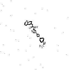 COc1ccc([C@H]2C[C@@H](n3cnc(NC(=O)Cc4ccc5ncccc5c4)c3)C2)cc1